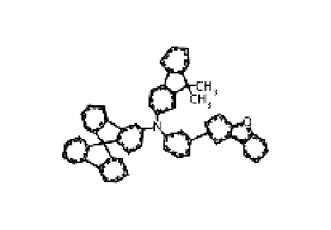 CC1(C)c2ccccc2-c2ccc(N(c3cccc(-c4ccc5oc6ccccc6c5c4)c3)c3ccc4c(c3)-c3ccccc3C43c4ccccc4-c4ccccc43)cc21